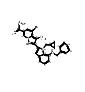 COC(=O)c1cc(F)c2c(C)c(-c3cc4cccc(OCc5ccccc5)c4n3CC3CC3)nn2c1